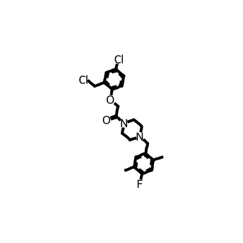 Cc1cc(CN2CCN(C(=O)COc3ccc(Cl)cc3CCl)CC2)c(C)cc1F